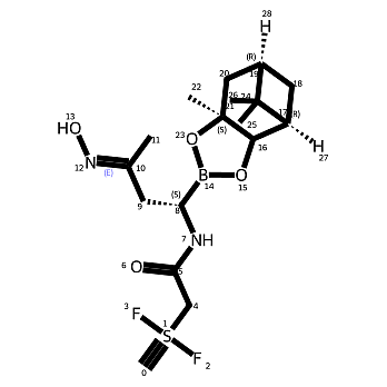 C#S(F)(F)CC(=O)N[C@H](C/C(C)=N/O)B1OC2[C@@H]3C[C@H](C[C@]2(C)O1)C3(C)C